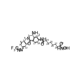 NCCN(Cc1ccc(/N=N\C(F)(F)F)cc1)C(=O)c1ccc(NC(=O)CCCCCCC(=O)NO)cc1